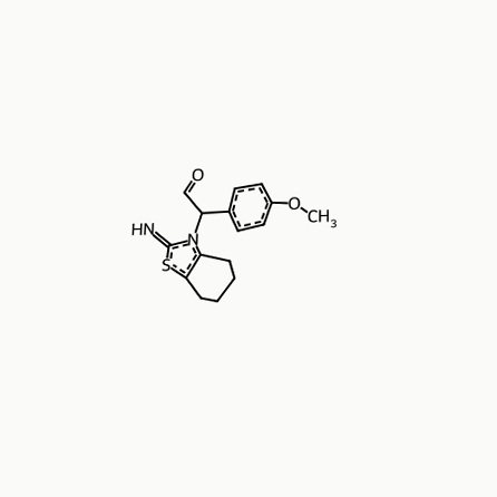 COc1ccc(C(C=O)n2c3c(sc2=N)CCCC3)cc1